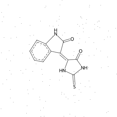 O=C1NC(=S)N/C1=C1/C(=O)Nc2ccccc21